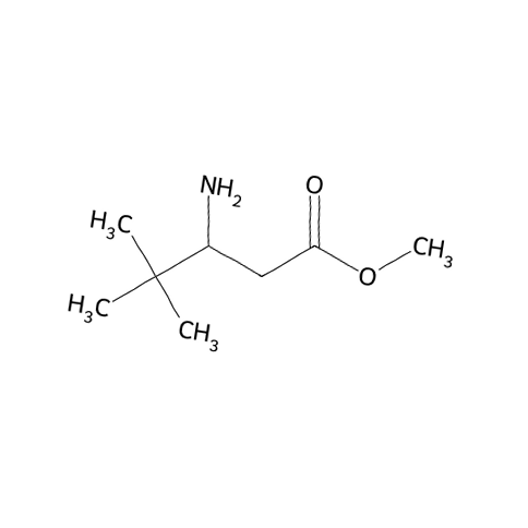 COC(=O)CC(N)C(C)(C)C